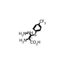 NN/C(Sc1ccc(C(F)(F)F)cc1)=C(\N)C(=O)O